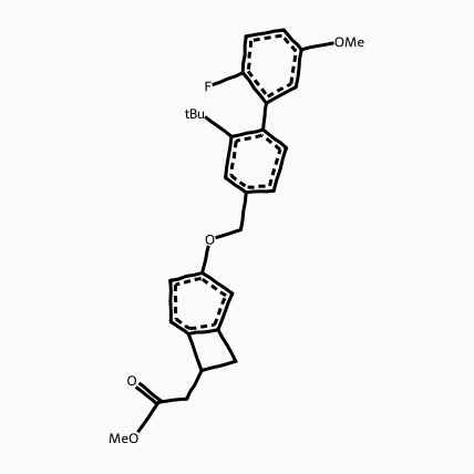 COC(=O)CC1Cc2cc(OCc3ccc(-c4cc(OC)ccc4F)c(C(C)(C)C)c3)ccc21